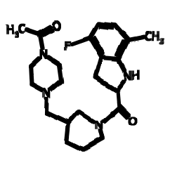 CC(=O)N1CCN(CC2CCCN(C(=O)C3Cc4c(F)ccc(C)c4N3)C2)CC1